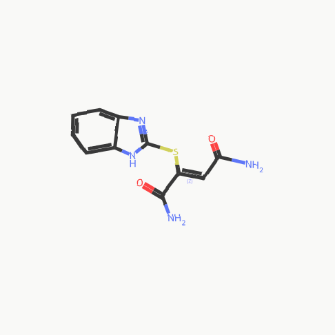 NC(=O)/C=C(\Sc1nc2ccccc2[nH]1)C(N)=O